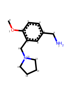 COc1ccc(CN)cc1CN1CCCC1